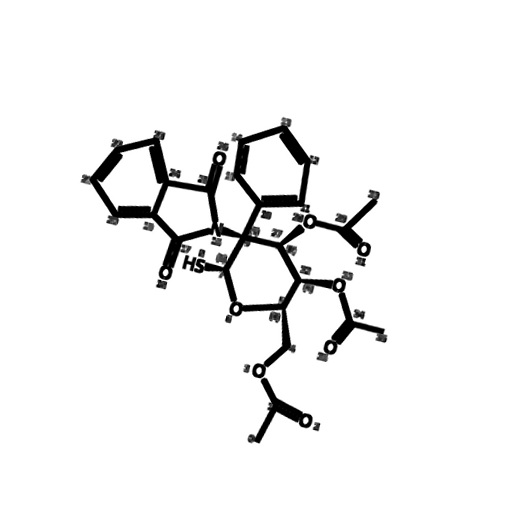 CC(=O)OC[C@H]1O[C@@H](S)[C@@](c2ccccc2)(N2C(=O)c3ccccc3C2=O)[C@@H](OC(C)=O)[C@H]1OC(C)=O